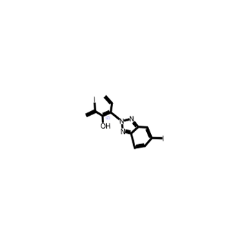 C=C/C(=C(/O)C(=C)I)n1nc2ccc(I)cc2n1